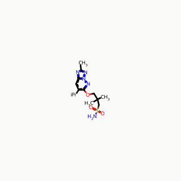 Cc1nc2cc(C(C)C)c(OCC(C)(C)CS(N)(=O)=O)nn2n1